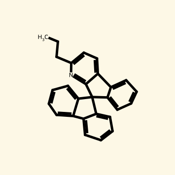 CCCc1ccc2c(n1)C1(c3ccccc3-c3ccccc31)c1ccccc1-2